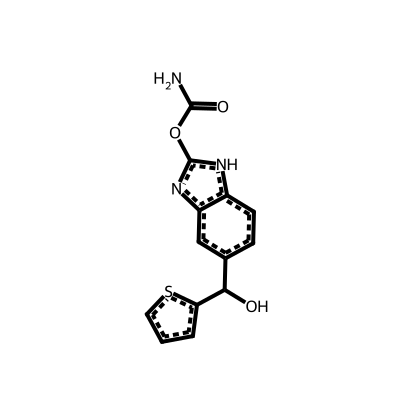 NC(=O)Oc1nc2cc(C(O)c3cccs3)ccc2[nH]1